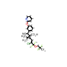 CC1(C)C(C=C(Cl)C(F)(F)OCC(F)(F)C(F)(F)F)C1(C(=O)O)C(C#N)c1cccc(Oc2ccccn2)c1